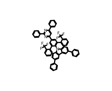 FC(F)(F)c1ccccc1-c1cc(-c2cc(-c3ccccc3)nc(-c3ccccc3)n2)cc(-c2ccccc2C(F)(F)F)c1-n1c2ccc(-c3ccccc3)cc2c2cc(-c3ccccc3)ccc21